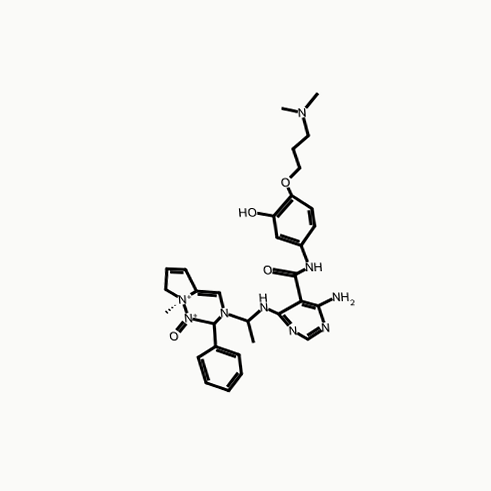 CC(Nc1ncnc(N)c1C(=O)Nc1ccc(OCCCN(C)C)c(O)c1)N1C=C2C=CC[N@+]2(C)[N+](=O)C1c1ccccc1